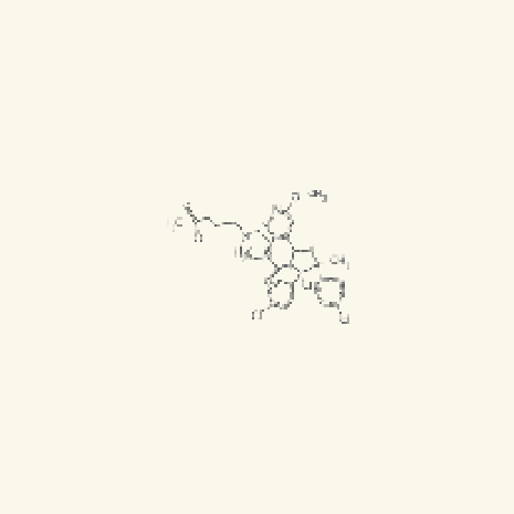 COc1cc(C2=N[C@@](C)(c3ccc(Cl)cc3)[C@@](C)(c3ccc(Cl)cc3)N2C(=O)N2CCN(CCCS(C)(=O)=O)CC2)c(OC)nn1